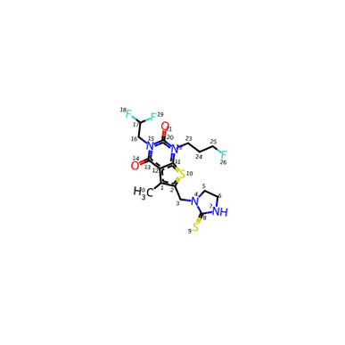 Cc1c(CN2CCNC2=S)sc2c1c(=O)n(CC(F)F)c(=O)n2CCCF